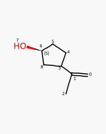 C=C(C)C1CC[C@H](O)C1